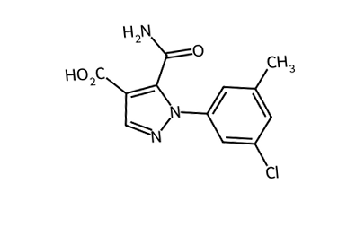 Cc1cc(Cl)cc(-n2ncc(C(=O)O)c2C(N)=O)c1